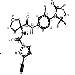 C#Cc1ccc(C(=O)NC2(C(=O)Nc3ccc(N4C(=O)OCC4(C)C)c(C)c3)CCOC2)s1